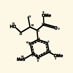 COC(=O)C(c1cc(OC)nc(SC)n1)C(C)CO